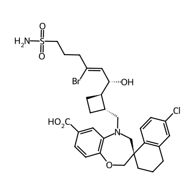 NS(=O)(=O)CCC/C(Br)=C/[C@H](O)[C@@H]1CC[C@H]1CN1C[C@@]2(CCCc3cc(Cl)ccc32)COc2ccc(C(=O)O)cc21